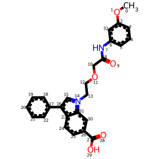 COc1cccc(NC(=O)COCCn2cc(-c3ccccc3)c3ccc(C(=O)O)cc32)c1